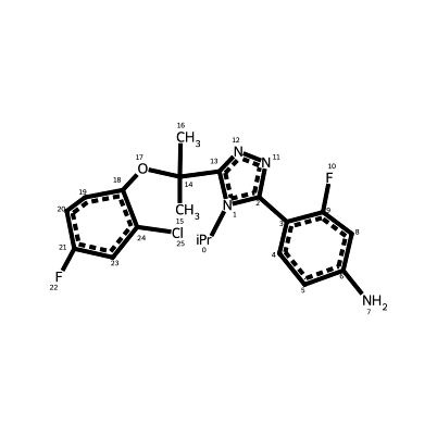 CC(C)n1c(-c2ccc(N)cc2F)nnc1C(C)(C)Oc1ccc(F)cc1Cl